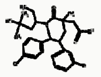 CCC(CC(C)(C)O)N1C(=O)C(C)(CC(=O)O)CC(c2cccc(Cl)c2)C1c1ccc(Cl)cc1